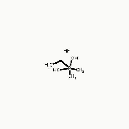 CCP(C)(C)(O)O.F